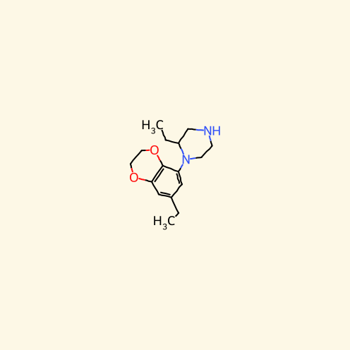 CCc1cc2c(c(N3CCNCC3CC)c1)OCCO2